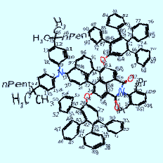 CCCCCC(C)(C)c1ccc(N(c2ccc(C(C)(C)CCCCC)cc2)c2ccc3c4c(Oc5cc(-c6ccccc6)c(-c6ccccc6)c(-c6ccccc6)c5-c5ccccc5)cc5c6c(cc(Oc7cc(-c8ccccc8)c(-c8ccccc8)c(-c8ccccc8)c7-c7ccccc7)c(c7cccc2c73)c64)C(=O)N(c2c(C(C)C)cccc2C(C)C)C5=O)cc1